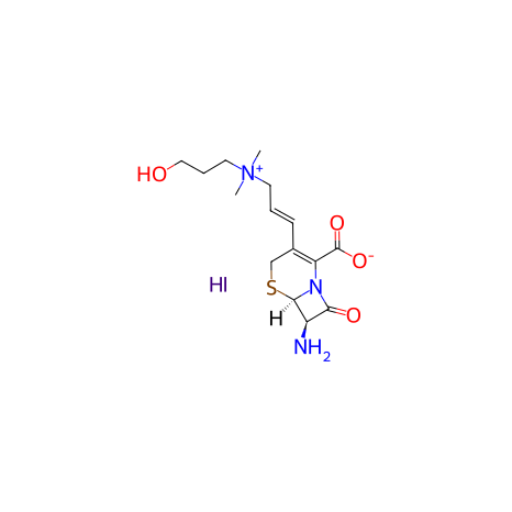 C[N+](C)(C/C=C/C1=C(C(=O)[O-])N2C(=O)[C@@H](N)[C@H]2SC1)CCCO.I